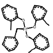 Cc1ccccc1[O][Hf]([CH2]c1ccccc1)([O]c1ccccc1C)[O]c1ccccc1C